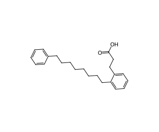 O=C(O)CCc1ccccc1CCCCCCCCc1ccccc1